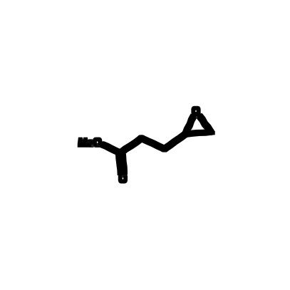 COC(=O)CCC1CO1